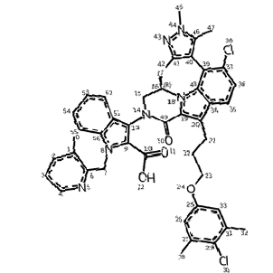 Cc1cccnc1Cn1c(C(=O)O)c(N2C[C@@H](C)n3c(c(CCCOc4cc(C)c(Cl)c(C)c4)c4ccc(Cl)c(-c5c(C)nn(C)c5C)c43)C2=O)c2ccccc21